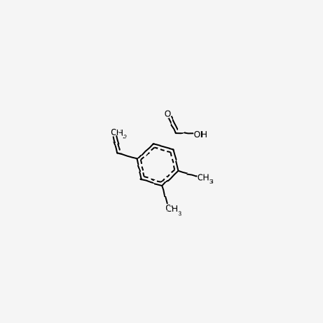 C=Cc1ccc(C)c(C)c1.O=CO